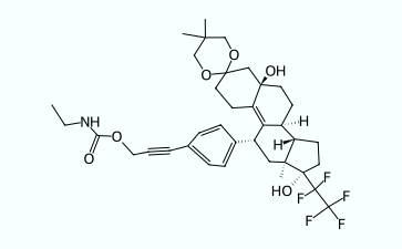 CCNC(=O)OCC#Cc1ccc([C@H]2C[C@@]3(C)[C@@H](CC[C@@]3(O)C(F)(F)C(F)(F)F)[C@@H]3CC[C@@]4(O)CC5(CCC4=C32)OCC(C)(C)CO5)cc1